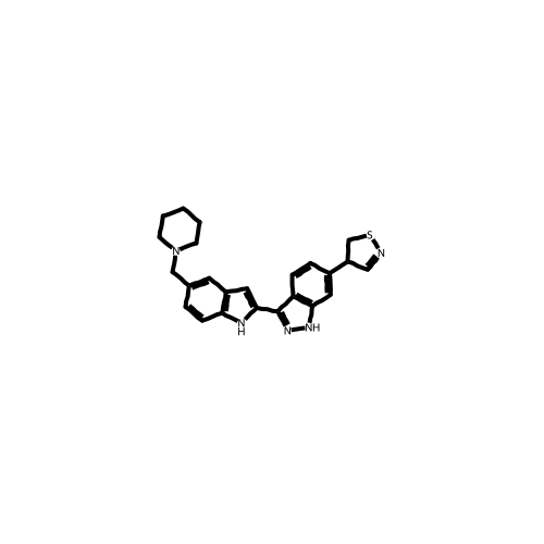 C1=NSCC1c1ccc2c(-c3cc4cc(CN5CCCCC5)ccc4[nH]3)n[nH]c2c1